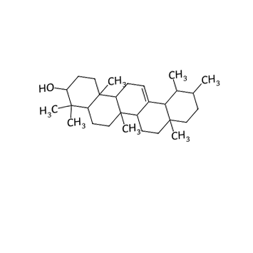 CC1CCC2(C)CCC3C(=CCC4C3(C)CCC3C(C)(C)C(O)CCC34C)C2C1C